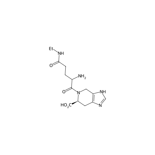 CCNC(=O)CCC(N)C(=O)N1Cc2[nH]cnc2C[C@H]1C(=O)O